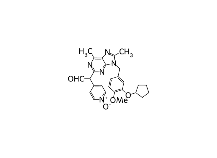 COc1ccc(Cn2c(C)nc3c(C)nc(C(C=O)c4cc[n+]([O-])cc4)nc32)cc1OC1CCCC1